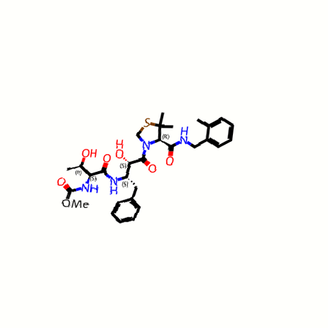 COC(=O)N[C@H](C(=O)N[C@@H](Cc1ccccc1)[C@H](O)C(=O)N1CSC(C)(C)[C@H]1C(=O)NCc1ccccc1C)[C@@H](C)O